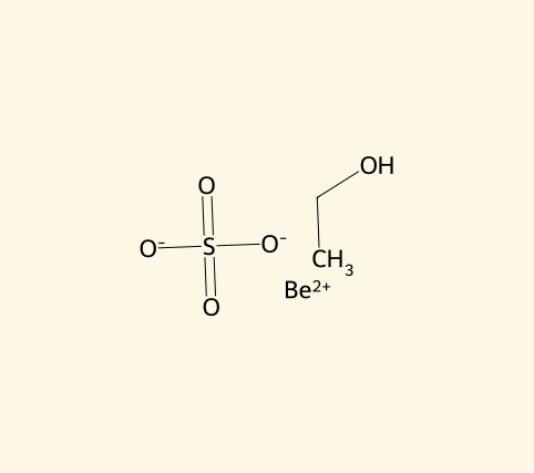 CCO.O=S(=O)([O-])[O-].[Be+2]